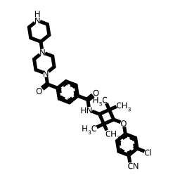 CC1(C)C(NC(=O)c2ccc(C(=O)N3CCN(C4CCNCC4)CC3)cc2)C(C)(C)C1Oc1ccc(C#N)c(Cl)c1